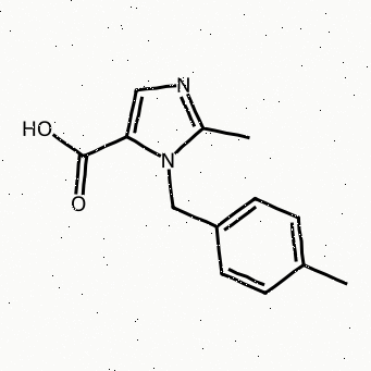 Cc1ccc(Cn2c(C(=O)O)cnc2C)cc1